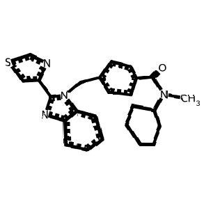 CN(C(=O)c1ccc(Cn2c(-c3cscn3)nc3ccccc32)cc1)C1CCCCC1